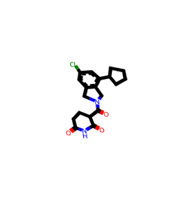 O=C1CCC(C(=O)N2Cc3cc(Cl)cc(C4CCCC4)c3C2)C(=O)N1